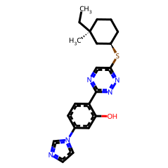 CC[C@@]1(C)CCC[C@@H](Sc2cnc(-c3ccc(-n4ccnc4)cc3O)nn2)C1